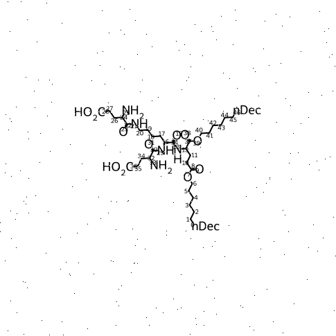 CCCCCCCCCCCCCCCCOC(=O)CCC(NC(=O)C(CCCCNC(=O)C(N)CCC(=O)O)NC(=O)C(N)CCC(=O)O)C(=O)OCCCCCCCCCCCCCCCC